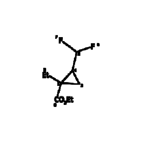 CCOC(=O)C1(CC)CC1C(F)F